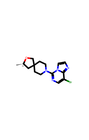 C[C@H]1CC2(CCN(c3ncc(Br)c4nccn34)CC2)CO1